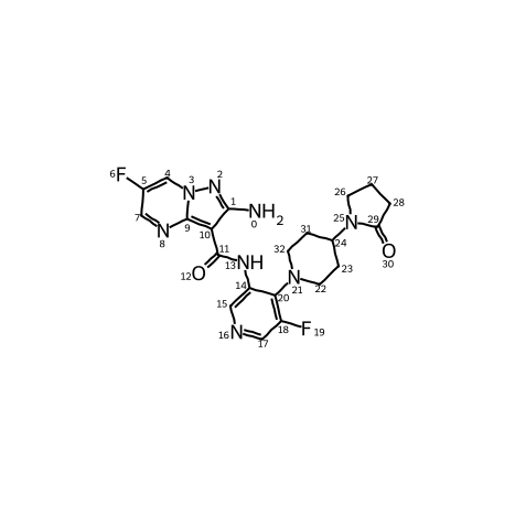 Nc1nn2cc(F)cnc2c1C(=O)Nc1cncc(F)c1N1CCC(N2CCCC2=O)CC1